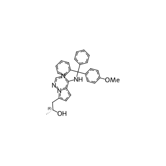 COc1ccc(C(Nc2ncnn3c(C[C@@H](C)O)ccc23)(c2ccccc2)c2ccccc2)cc1